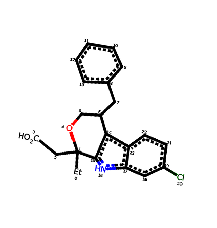 CCC1(CC(=O)O)OCC(Cc2ccccc2)c2c1[nH]c1cc(Cl)ccc21